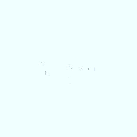 Cc1ccc(C(=O)CCc2ccc(Cl)nc2)c(Nc2ccccc2)n1